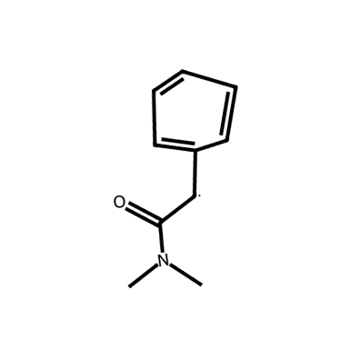 CN(C)C(=O)[CH]c1ccccc1